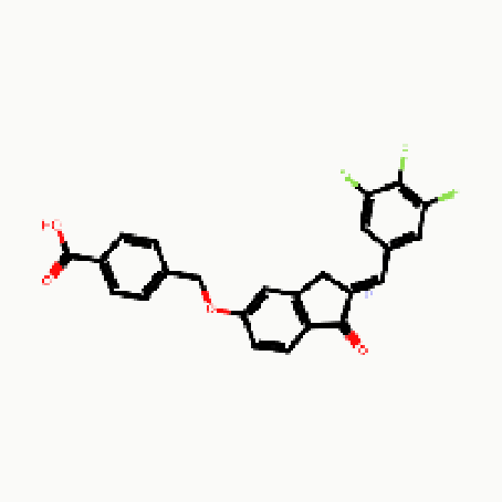 O=C(O)c1ccc(COc2ccc3c(c2)C/C(=C\c2cc(F)c(F)c(F)c2)C3=O)cc1